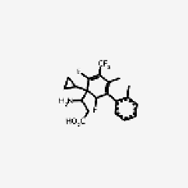 CC1=C(c2ccccc2C)C(F)C(C(N)CC(=O)O)(C2CC2)C(F)=C1C(F)(F)F